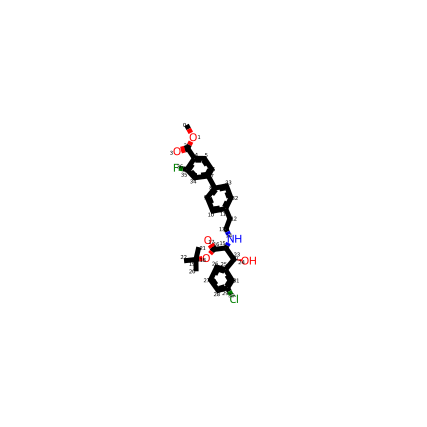 COC(=O)c1ccc(-c2ccc(CCNC(C(=O)OC(C)(C)C)[C@H](O)c3cccc(Cl)c3)cc2)cc1F